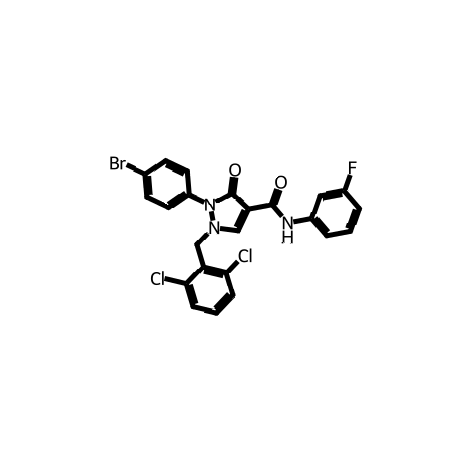 O=C(Nc1cccc(F)c1)c1cn(Cc2c(Cl)cccc2Cl)n(-c2ccc(Br)cc2)c1=O